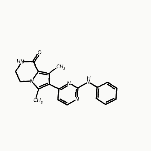 Cc1c(-c2ccnc(Nc3ccccc3)n2)c(C)n2c1C(=O)NCC2